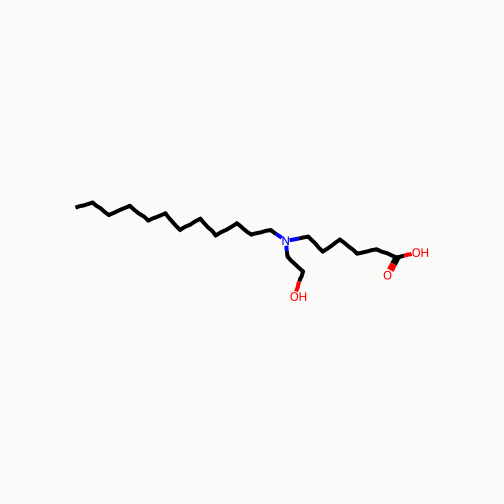 CCCCCCCCCCCCN(CCO)CCCCCC(=O)O